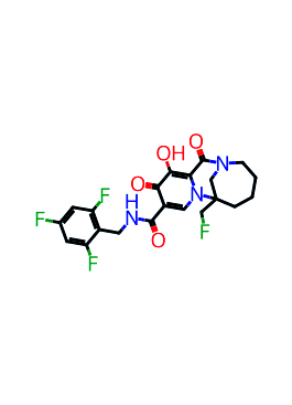 O=C(NCc1c(F)cc(F)cc1F)c1cn2c(c(O)c1=O)C(=O)N1CCCCC2(CF)C1